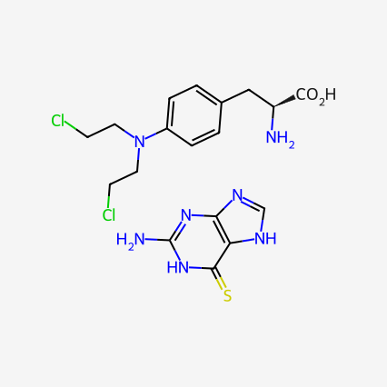 N[C@@H](Cc1ccc(N(CCCl)CCCl)cc1)C(=O)O.Nc1nc2nc[nH]c2c(=S)[nH]1